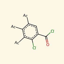 CC(=O)c1cc(C(=O)Cl)c(Cl)c(C(C)=O)c1C(C)=O